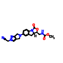 COC(=O)NC[C@@H]1OC(=O)N2c3ccc(N4Cc5cn(CC#N)nc5C4)cc3C[C@@H]12